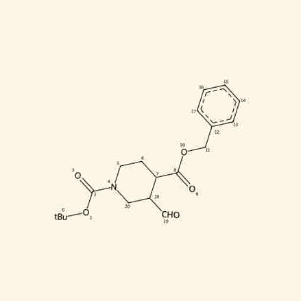 CC(C)(C)OC(=O)N1CCC(C(=O)OCc2ccccc2)C(C=O)C1